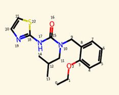 CCOc1ccccc1CN(CC(C)C)C(=O)Nc1nccs1